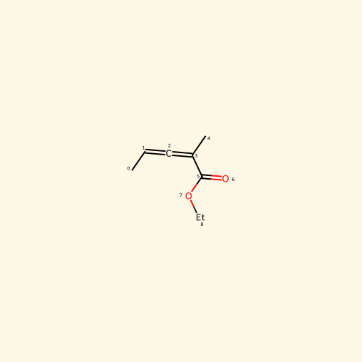 CC=C=C(C)C(=O)OCC